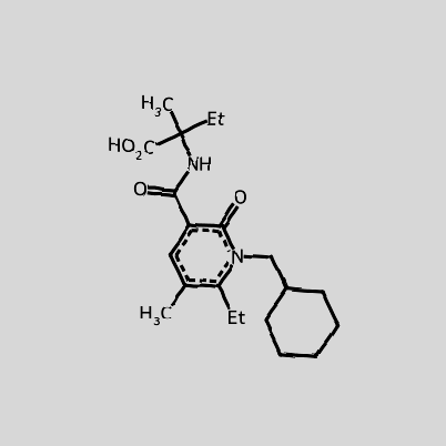 CCc1c(C)cc(C(=O)NC(C)(CC)C(=O)O)c(=O)n1CC1CCCCC1